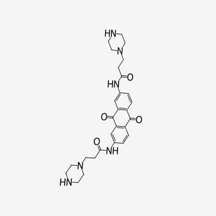 O=C(CCN1CCNCC1)Nc1ccc2c(c1)C(=O)c1cc(NC(=O)CCN3CCNCC3)ccc1C2=O